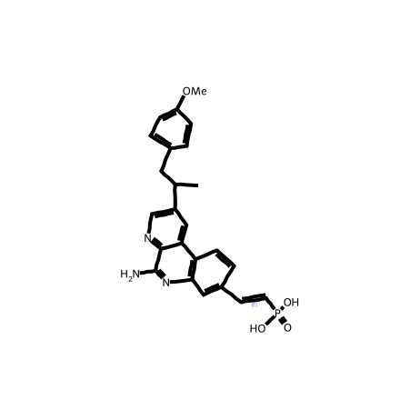 COc1ccc(CC(C)c2cnc3c(N)nc4cc(/C=C/P(=O)(O)O)ccc4c3c2)cc1